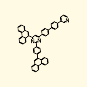 c1cncc(-c2ccc(-c3ccc(-c4cc(-c5cc6ccccc6c6ccccc56)nc(-c5ccc(-c6cc7ccccc7c7ccccc67)cc5)n4)cc3)cc2)c1